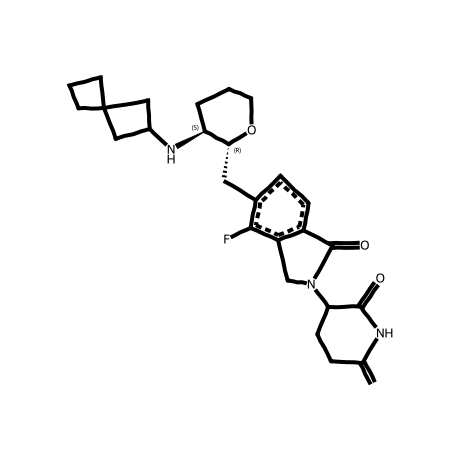 C=C1CCC(N2Cc3c(ccc(C[C@H]4OCCC[C@@H]4NC4CC5(CCC5)C4)c3F)C2=O)C(=O)N1